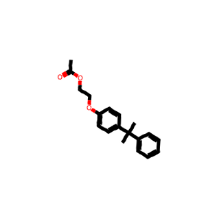 CC(=O)OCCOc1ccc(C(C)(C)c2ccccc2)cc1